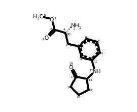 COC(=O)[C@H](N)Cc1cccc(NC2CCCC2=O)c1